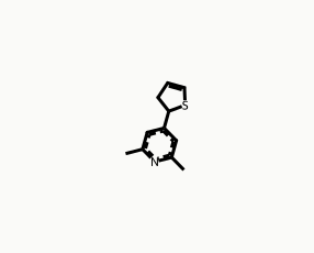 Cc1cc(C2CC=CS2)cc(C)n1